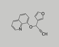 C#CC(Oc1cccc2cccnc12)c1ccoc1